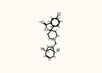 O=C1OC2(CCN(C[C@@H]3C[C@H]4C=CC[C@H]3C4)CC2)c2ccc(Cl)cc21